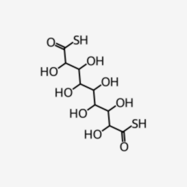 O=C(S)C(O)C(O)C(O)C(O)C(O)C(O)C(O)C(=O)S